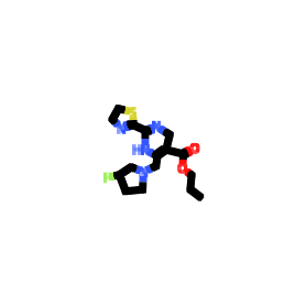 CCCOC(=O)C1=C(CN2CCC(F)C2)NC(C2=NCCS2)=NC1